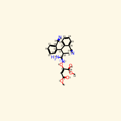 COC(=O)C=C(O/N=C(\N)C(C)C(c1ccccc1C#N)c1ccccc1C#N)C(=O)OC